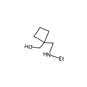 CCNCC1(CO)CCC1